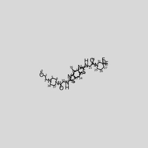 COCCN1CCN(C(=O)CNc2nc3c(C)c4nc(NCC(=O)N5CCCC(F)(F)C5)sc4cc3s2)CC1